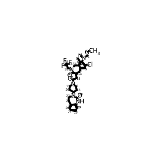 COCn1ncc2c3c(cc(Cl)c21)CC(CC(=O)N1CCC(N2CCc4ccccc4NC2=O)CC1)C(=O)N(CC(F)(F)F)C3